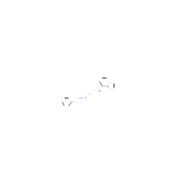 Cc1cn2cccc(C(=O)NCCNCCc3ccc(F)cc3)c2n1